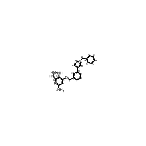 Nc1cc(OCc2cccc(-c3cnn(Cc4ccccc4)c3)c2)c2c(n1)NNN2